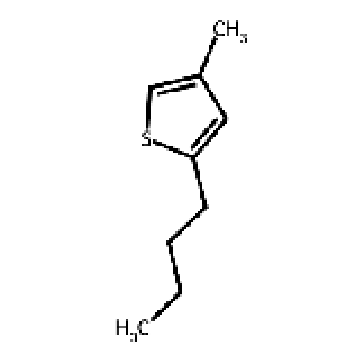 CCCCc1cc(C)cs1